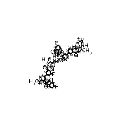 COc1ncc(-c2cc(F)c3ncn(CC(C)C(=O)NCCOc4ncc(-c5ccc6ncn(CC(C)C(O)NC7CC7(F)F)c(=O)c6c5)cc4NS(=O)(=O)c4ccc(F)cc4Cl)c(=O)c3c2)cc1NS(=O)(=O)c1ccc(F)cc1Cl